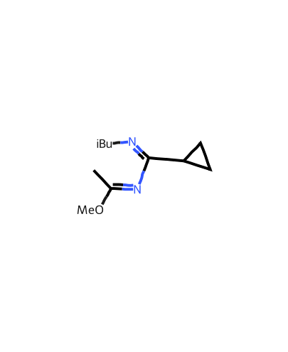 CCC(C)/N=C(\N=C(/C)OC)C1CC1